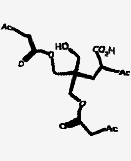 CC(=O)CC(=O)OCC(CO)(COC(=O)CC(C)=O)CC(C(C)=O)C(=O)O